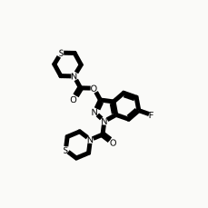 O=C(Oc1nn(C(=O)N2CCSCC2)c2cc(F)ccc12)N1CCSCC1